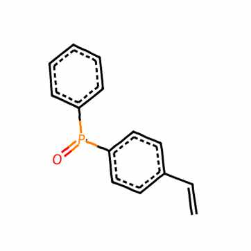 C=Cc1ccc([P](=O)c2ccccc2)cc1